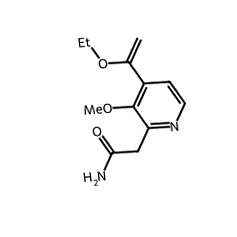 C=C(OCC)c1ccnc(CC(N)=O)c1OC